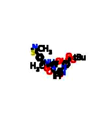 Cc1ncsc1-c1ccc([C@H](C)NC(=O)[C@@H]2C[C@@H](O)CN2C(=O)C(c2cc(N3CCC(C(=O)OC(C)(C)C)CC3)no2)C(C)C)cc1